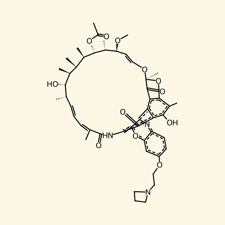 CO[C@H]1/C=C/O[C@@]2(C)Oc3c(C)c(O)c4c(=O)c(c5oc6cc(OCCN7CCC7)ccc6nc-5c4c3C2=O)NC(=O)/C(C)=C\C=C\[C@H](C)[C@H](O)[C@@H](C)[C@@H](C)[C@@H](C)[C@H](OC(C)=O)[C@@H]1C